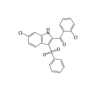 O=C(c1ccccc1Cl)c1[nH]c2cc(Cl)ccc2c1S(=O)(=O)c1ccccc1